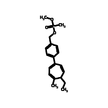 CCC1C=CC(c2ccc(COP(C)(=O)OC)cc2)=CC=C1C